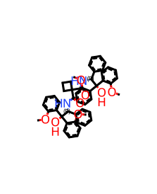 COc1ccccc1C(O)(c1ccccc1OC)[C@H](NC(=O)C1(C(=O)N[C@H](c2ccccc2)C(O)(c2ccccc2OC)c2ccccc2OC)CCC1)c1ccccc1